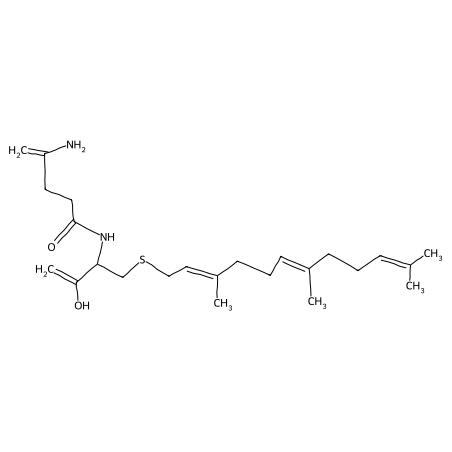 C=C(N)CCC(=O)NC(CSC/C=C(\C)CC/C=C(\C)CCC=C(C)C)C(=C)O